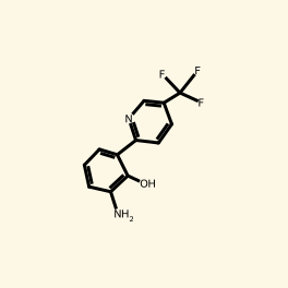 Nc1cccc(-c2ccc(C(F)(F)F)cn2)c1O